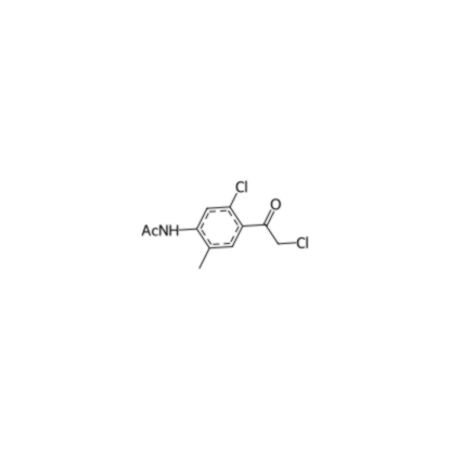 CC(=O)Nc1cc(Cl)c(C(=O)CCl)cc1C